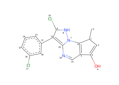 CC1C=C(O)C2=C1N1NC(Cl)C(c3cccc(Cl)c3)=C1N=C2